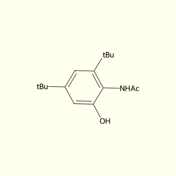 CC(=O)Nc1c(O)cc(C(C)(C)C)cc1C(C)(C)C